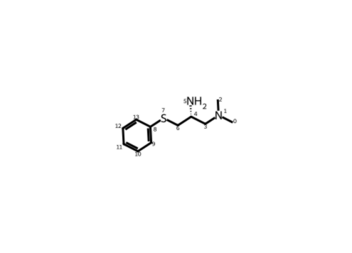 CN(C)C[C@@H](N)CSc1ccccc1